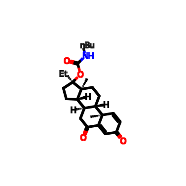 CCCCNC(=O)O[C@]1(CC)CC[C@H]2[C@@H]3CC(=O)C4=CC(=O)C=C[C@]4(C)[C@H]3CC[C@@]21C